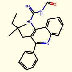 CCC(C)(C)Cc1c(-c2ccccc2)nc2ccccc2c1NC(=N)NC=O